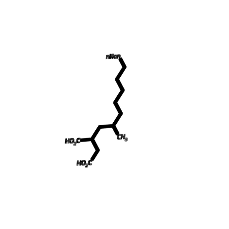 CCCCCCCCCCCCCCC(C)CC(CC(=O)O)C(=O)O